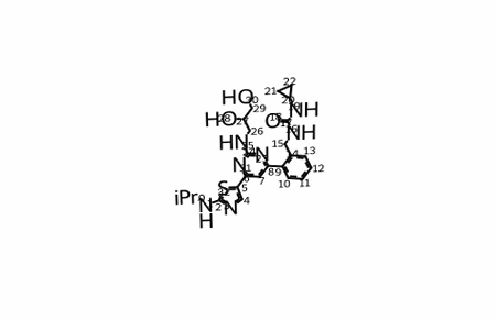 CC(C)Nc1ncc(-c2cc(-c3ccccc3CNC(=O)NC3CC3)nc(NC[C@@H](O)CO)n2)s1